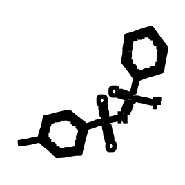 Cc1ccc(S(=O)(=O)N=S(=O)(F)c2ccccc2)cc1